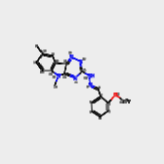 CCCOc1ccccc1/C=N/Nc1nnc2c3cc(C)ccc3n(C)c2n1